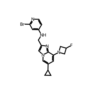 FC1CN(c2cc(C3CC3)cn3cc(CNc4ccnc(Br)c4)nc23)C1